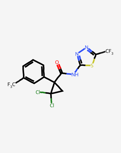 O=C(Nc1nnc(C(F)(F)F)s1)C1(c2cccc(C(F)(F)F)c2)CC1(Cl)Cl